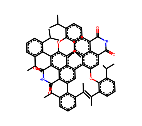 CC(C)c1cccc(C(C)C)c1Oc1cc2c3c(ccc4c5c(Oc6c(C(C)C)cccc6C(C)C)c(-c6c(C(C)C)cccc6C(C)C)c6c7c(c(-c8c(C(C)C)cccc8C(C)C)cc(c1c34)c75)C(=O)NC6=O)C(=O)NC2=O